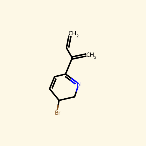 C=CC(=C)C1=NCC(Br)C=C1